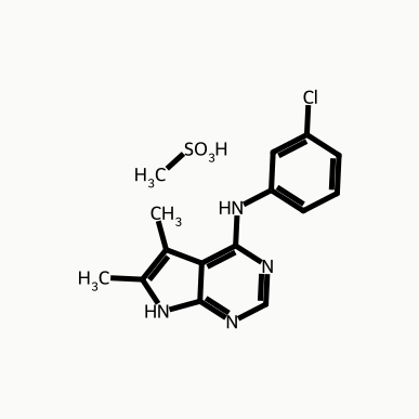 CS(=O)(=O)O.Cc1[nH]c2ncnc(Nc3cccc(Cl)c3)c2c1C